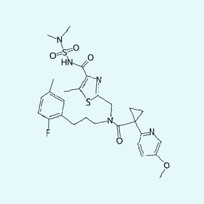 COc1ccc(C2(C(=O)N(CCCc3cc(C)ccc3F)Cc3nc(C(=O)NS(=O)(=O)N(C)C)c(C)s3)CC2)nc1